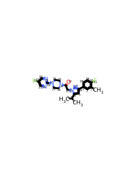 Cc1cc(-c2cc(C(C)C)n(CC(=O)N3CCN(c4ncc(F)cn4)CC3)n2)ccc1F